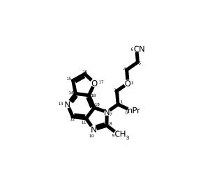 CCCC(COCCC#N)n1c(C)nc2cnc3ccoc3c21